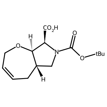 CC(C)(C)OC(=O)N1C[C@@H]2CC=CCO[C@H]2[C@H]1C(=O)O